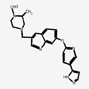 CC1CN(Cc2cnc3cc(Oc4ccc(-c5ccn[nH]5)cn4)ccc3c2)CCN1C=O